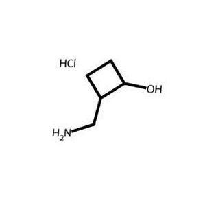 Cl.NCC1CCC1O